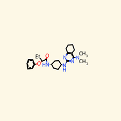 CCC(Oc1ccccc1)C(=O)N[C@H]1CC[C@@H](Nc2nc3c(c(N(C)C)n2)CCCC3)CC1